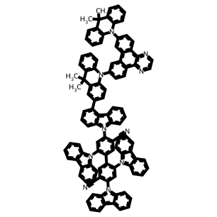 CC1(C)c2ccccc2N(c2ccc3c(c2)c2cc(N4c5ccccc5C(C)(C)c5cc(-c6cccc7c6c6ccccc6n7-c6cc(-n7c8ccccc8c8ccccc87)c(-c7cc(C#N)c(-n8c9ccccc9c9ccccc98)cc7-n7c8ccccc8c8ccccc87)cc6C#N)ccc54)ccc2c2nccnc32)c2ccccc21